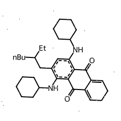 CCCCC(CC)Cc1cc(NC2CCCCC2)c2c(c1NC1CCCCC1)C(=O)C1=CCCC=C1C2=O